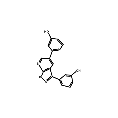 Oc1cccc(-c2cnc3[nH]nc(-c4cccc(O)c4)c3c2)c1